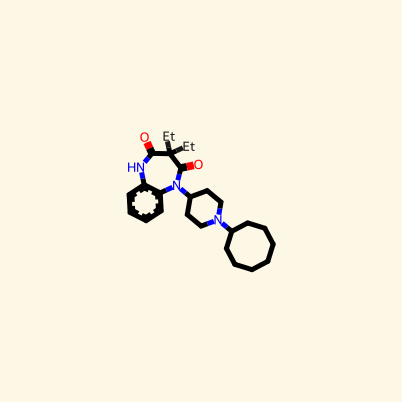 CCC1(CC)C(=O)Nc2ccccc2N(C2CCN(C3CCCCCCC3)CC2)C1=O